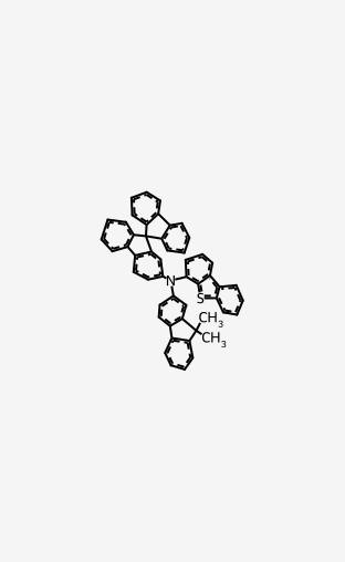 CC1(C)c2ccccc2-c2ccc(N(c3ccc4c(c3)C3(c5ccccc5-c5ccccc53)c3ccccc3-4)c3cccc4c3sc3ccccc34)cc21